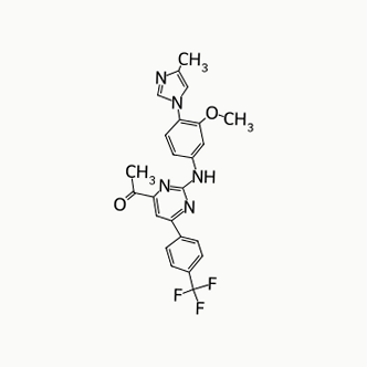 COc1cc(Nc2nc(C(C)=O)cc(-c3ccc(C(F)(F)F)cc3)n2)ccc1-n1cnc(C)c1